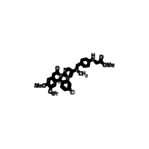 COC(=O)CNC1CCC(CN(C)c2cnc(N3C(=O)Cc4cc(OC)c(OC(C)C)cc4[C@@H]3c3ccc(Cl)cc3)nc2)CC1